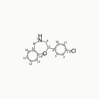 Clc1ccc(C2CNCc3ccccc3O2)cc1